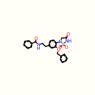 O=C1CN(c2ccc(CCNC(=O)c3ccccc3)cc2OCc2ccccc2)S(=O)(=O)N1